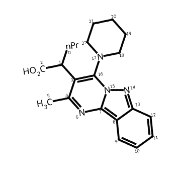 CCCC(C(=O)O)c1c(C)nc2c3ccccc3nn2c1N1CCCCC1